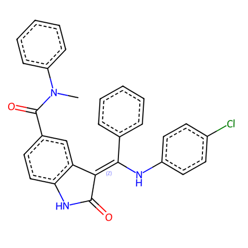 CN(C(=O)c1ccc2c(c1)/C(=C(/Nc1ccc(Cl)cc1)c1ccccc1)C(=O)N2)c1ccccc1